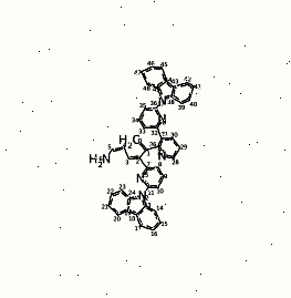 C=C(/C(=C\C=C/N)c1cccc(-n2c3ccccc3c3ccccc32)n1)c1ncccc1-c1cccc(-n2c3ccccc3c3ccccc32)n1